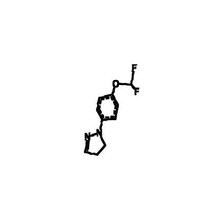 FC(F)Oc1ccc(N2CCC=N2)cc1